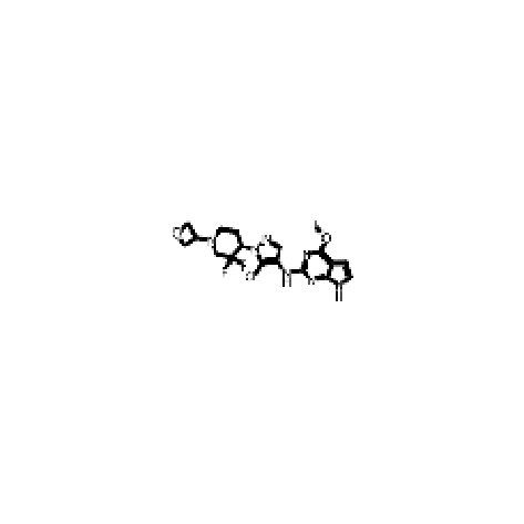 FC1(F)CN(C2COC2)CCC1n1ncc(Nc2nc(OI)c3cc[nH]c3n2)c1Cl